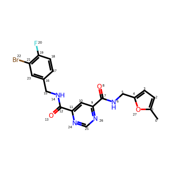 Cc1ccc(CNC(=O)c2cc(C(=O)NCc3ccc(F)c(Br)c3)ncn2)o1